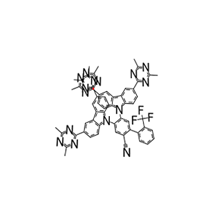 Cc1nc(C)nc(-c2ccc3c(c2)c2cc(-c4nc(C)nc(C)n4)ccc2n3-c2cc(C#N)c(-c3ccccc3C(F)(F)F)cc2-n2c3ccc(-c4nc(C)nc(C)n4)cc3c3cc(-c4nc(C)nc(C)n4)ccc32)n1